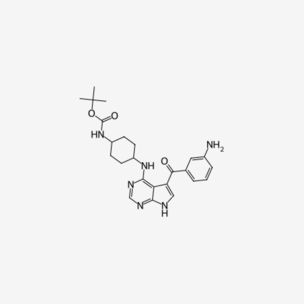 CC(C)(C)OC(=O)NC1CCC(Nc2ncnc3[nH]cc(C(=O)c4cccc(N)c4)c23)CC1